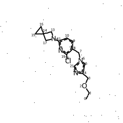 CCOCc1cn(Cc2ccc(N3CC4(CC4)C3)nc2Cl)cn1